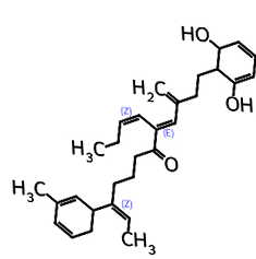 C=C(/C=C(\C=C/CC)C(=O)CCC/C(=C/C)C1C=C(C)C=CC1)CCC1C(O)=CC=CC1O